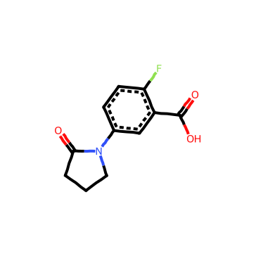 O=C(O)c1cc(N2CCCC2=O)ccc1F